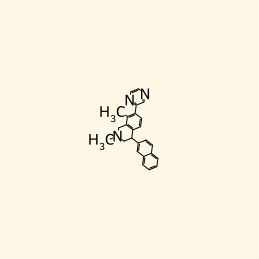 Cc1c(-c2cnccn2)ccc2c1CN(C)CC2c1ccc2ccccc2c1